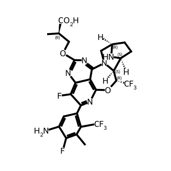 Cc1c(F)c(N)cc(-c2nc3c4c(nc(OC[C@@H](C)C(=O)O)nc4c2F)N2C[C@H]4CC[C@H](N4)[C@H]2[C@H](C(F)(F)F)O3)c1C(F)(F)F